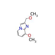 COCc1cn2cccc(OC)c2n1